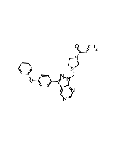 C=CC(=O)N1CC[C@@H](Cn2nc(-c3ccc(Oc4ccccc4)cc3)c3cncnc32)C1